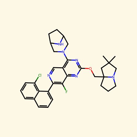 CC1(C)CN2CCCC2(COc2nc(N3CC4CCC(C3)N4)c3cnc(-c4cccc5cccc(Cl)c45)c(F)c3n2)C1